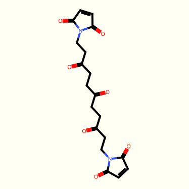 O=C(CCC(=O)CCN1C(=O)C=CC1=O)CCC(=O)CCN1C(=O)C=CC1=O